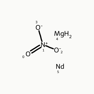 O=[N+]([O-])[O-].[MgH2].[Nd]